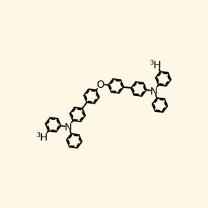 [3H]c1cccc(N(c2ccccc2)c2ccc(-c3ccc(Oc4ccc(-c5ccc(N(c6ccccc6)c6cccc([3H])c6)cc5)cc4)cc3)cc2)c1